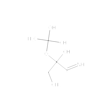 CCC(C)(C=N)OC(C)(C)O